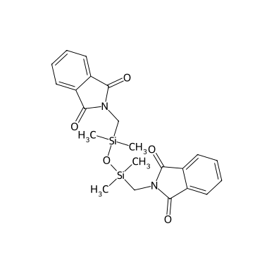 C[Si](C)(CN1C(=O)c2ccccc2C1=O)O[Si](C)(C)CN1C(=O)c2ccccc2C1=O